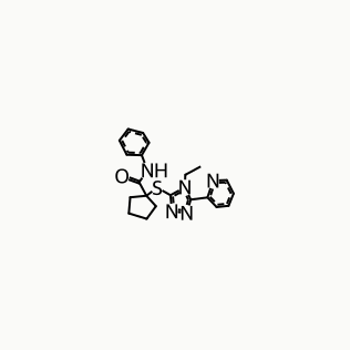 CCn1c(SC2(C(=O)Nc3ccccc3)CCCC2)nnc1-c1ccccn1